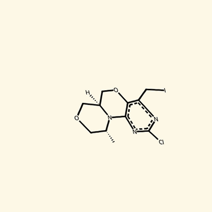 C[C@@H]1COC[C@H]2COc3c(CI)nc(Cl)nc3N21